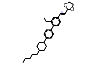 CCCCCC1CCC(c2ccc(-c3ccc(/C=C/C4OCCO4)cc3CC)cc2)CC1